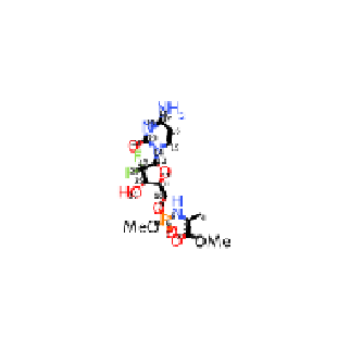 COC(=O)C(C)NP(=O)(OC)OCC1OC(n2ccc(N)nc2=O)C(F)(F)C1O